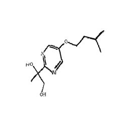 CC(C)CCOc1cnc(C(C)(O)CO)nc1